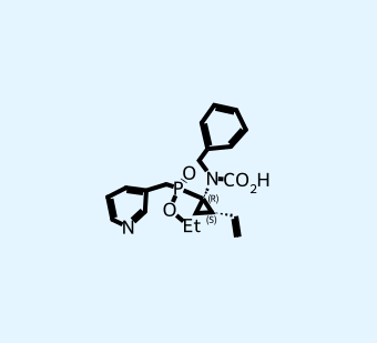 C=C[C@@H]1C[C@@]1(N(Cc1ccccc1)C(=O)O)P(=O)(Cc1cccnc1)OCC